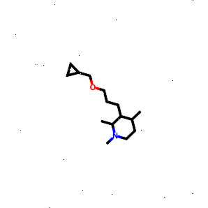 CC1CCN(C)C(C)C1CCCOCC1CC1